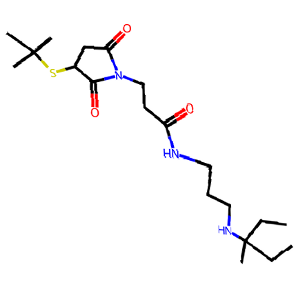 CCC(C)(CC)NCCCNC(=O)CCN1C(=O)CC(SC(C)(C)C)C1=O